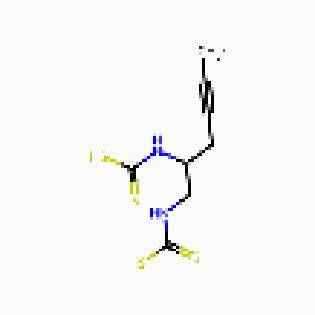 [CH2]C#CCC(CNC(=S)S)NC(=S)S